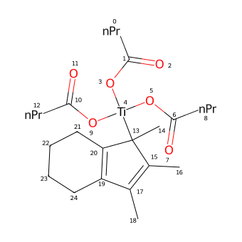 CCCC(=O)[O][Ti]([O]C(=O)CCC)([O]C(=O)CCC)[C]1(C)C(C)=C(C)C2=C1CCCC2